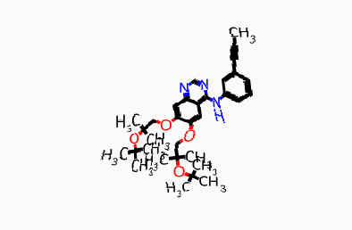 CC#Cc1cccc(Nc2ncnc3cc(OCC(C)(C)OC(C)(C)C)c(OCC(C)(C)OC(C)(C)C)cc23)c1